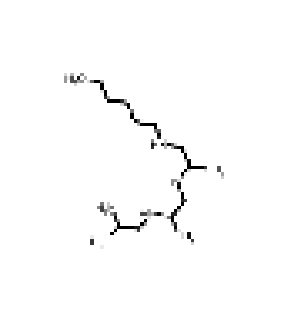 CCCCCCNCC(C)NCC(C)NCC(C)N